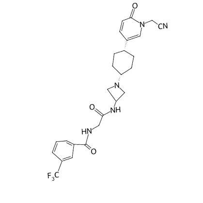 N#CCn1cc([C@H]2CC[C@@H](N3CC(NC(=O)CNC(=O)c4cccc(C(F)(F)F)c4)C3)CC2)ccc1=O